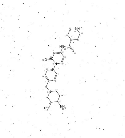 CC1CN(Cc2ccc(-n3ccc(NC(=O)N4CCNCC4)nc3=O)cc2)CCC1N